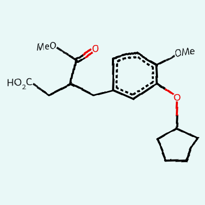 COC(=O)C(CC(=O)O)Cc1ccc(OC)c(OC2CCCC2)c1